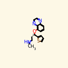 CNCC[C@H](Oc1cccc2nccnc12)c1cccs1